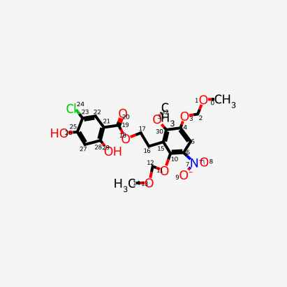 COCOc1cc([N+](=O)[O-])c(OCOC)c(CCOC(=O)c2cc(Cl)c(O)cc2O)c1OC